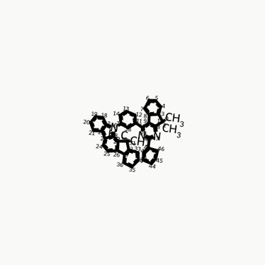 CC1(C)c2ccccc2-c2c(-c3cccc(-n4c5ccccc5c5ccc6c(c54)C(C)(C)c4ccccc4-6)c3)nc(-c3ccccc3)nc21